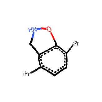 CC(C)c1ccc(C(C)C)c2c1CNO2